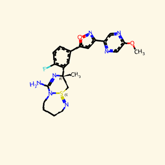 COc1cnc(-c2cc(-c3ccc(F)c([C@]4(C)C[S@]5=NCCCCN5C(N)=N4)c3)on2)cn1